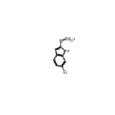 O=C(O)Oc1cc2ccc(Cl)cc2[nH]1